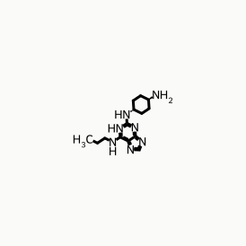 CCCNc1[nH]c(N[C@H]2CC[C@H](N)CC2)nc2ncnc1-2